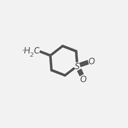 [CH2]C1CCS(=O)(=O)CC1